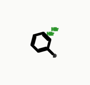 Br.Br.[B]c1ccccc1